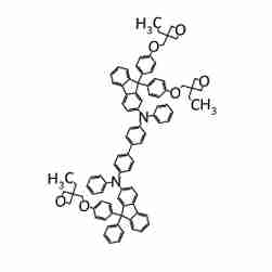 CCC1(COc2ccc(C3(c4ccccc4)c4ccccc4-c4ccc(N(c5ccccc5)c5ccc(-c6ccc(N(c7ccccc7)c7ccc8c(c7)C(c7ccc(OCC9(CC)COC9)cc7)(c7ccc(OCC9(CC)COC9)cc7)c7ccccc7-8)cc6)cc5)cc43)cc2)COC1